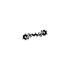 c1ccc(SSCCCCSSc2ccccn2)nc1